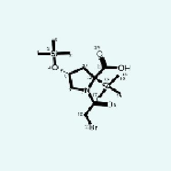 C[Si](C)(C)O[C@H]1CN(C(=O)CBr)[C@](C(=O)O)([Si](C)(C)C)C1